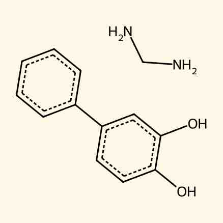 NCN.Oc1ccc(-c2ccccc2)cc1O